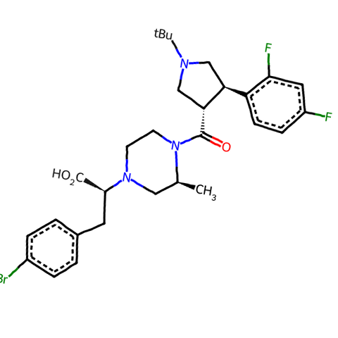 C[C@H]1CN([C@@H](Cc2ccc(Br)cc2)C(=O)O)CCN1C(=O)[C@@H]1CN(C(C)(C)C)C[C@H]1c1ccc(F)cc1F